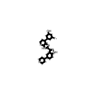 Oc1cc(F)cc(-c2ccnc3[nH]c(-c4n[nH]c5ccc(-c6ccncc6)cc45)nc23)c1